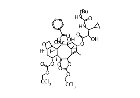 CC(=O)O[C@@]12CO[C@@H]1C[C@H](OC(=O)OCC(Cl)(Cl)Cl)[C@@]1(C)C(=O)[C@H](OC(=O)OCC(Cl)(Cl)Cl)C3=C(C)[C@@H](OC(=O)C(O)C(NC(=O)NC(C)(C)C)C4CC4)C[C@@](O)([C@@H](OC(=O)c4ccccc4)[C@H]21)C3(C)C